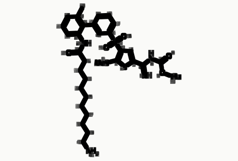 CSc1sc(C(=N)NC(=O)OC(C)(C)C)cc1S(=O)(=O)c1cccc(-c2c(C)cccc2NC(=O)CCCCCCCCCCN)c1